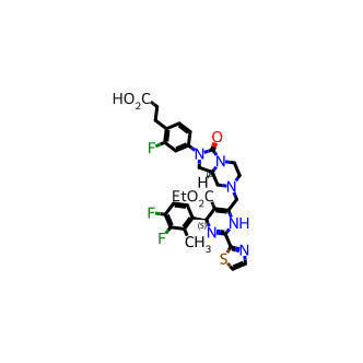 CCOC(=O)C1=C(CN2CCN3C(=O)N(c4ccc(CCC(=O)O)c(F)c4)C[C@@H]3C2)NC(c2nccs2)=N[C@H]1c1ccc(F)c(F)c1C